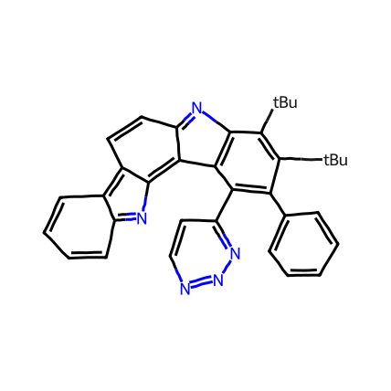 CC(C)(C)c1c2c(c(-c3ccnnn3)c(-c3ccccc3)c1C(C)(C)C)-c1c3c(ccc1=N2)=c1ccccc1=N3